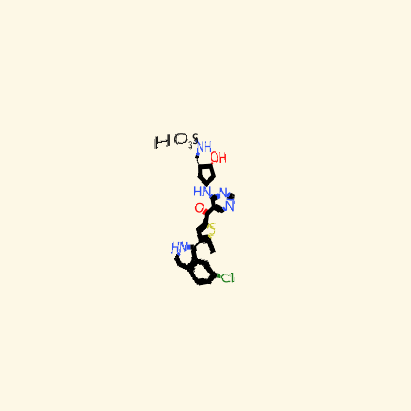 Cc1sc(C(=O)c2cncnc2N[C@@H]2C[C@H](CNS(=O)(=O)O)[C@@H](O)C2)cc1[C@@H]1NCCc2ccc(Cl)cc21